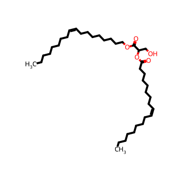 CCCCCCCC/C=C\CCCCCCCCOC(=O)C(CO)OC(=O)CCCCCCC/C=C\CCCCCCCC